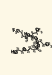 C[SiH](CCC(F)(F)F)O[Si](C)(CCC(F)(F)F)O[Si](C)(CCC(F)(F)F)O[Si](C)(C)CCCOCCO